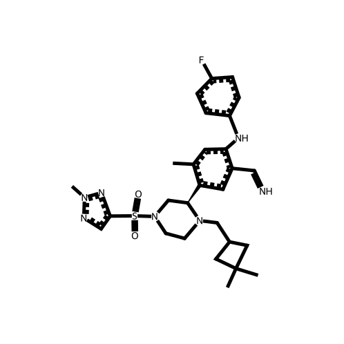 Cc1cc(Nc2ccc(F)cc2)c(C=N)cc1[C@@H]1CN(S(=O)(=O)c2cnn(C)n2)CCN1CC1CC(C)(C)C1